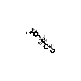 COc1c(C2CCCN(C(=O)N3CCCC3)C2)n[nH]c1OCc1ccc(C(=N)N)cc1